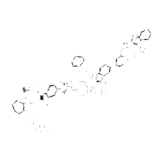 CCCn1c(CNc2ccccc2OCCOC)nc2cc(S(=O)(=O)N(C)CC3CCN(C(C)c4nc5cc(-c6ccnc(CN(Cc7nc8ccccc8n7C(F)F)C(C)C)c6)ccc5n4CCOc4ccccc4)CC3)ccc21